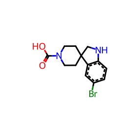 O=C(O)N1CCC2(CC1)CNc1ccc(Br)cc12